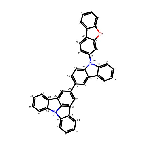 c1ccc2c(c1)oc1cc(-n3c4ccccc4c4cc(-c5cc6c7ccccc7n7c8ccccc8c(c5)c67)ccc43)ccc12